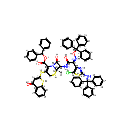 O=C(OC(c1ccccc1)c1ccccc1)C1=C(Sc2cc(=O)c3ccccc3s2)CS[C@@H]2C(NC(=O)/C(=N\OC(c3ccccc3)(c3ccccc3)c3ccccc3)c3nc(NC(c4ccccc4)(c4ccccc4)c4ccccc4)sc3Cl)C(=O)N12